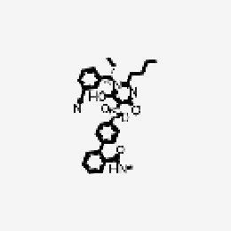 CCCCc1nc(=O)c(S(=O)(=O)c2ccc(-c3ccccc3C(=O)NC)cc2)c(O)n1[C@@H](CC)c1cccc(C#N)c1